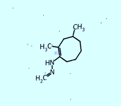 C=NN/C1=C(\C)CC(C)CCCC1